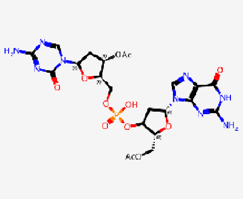 CC(=O)OC[C@H]1O[C@@H](n2cnc3c(=O)[nH]c(N)nc32)CC1OP(=O)(O)OC[C@H]1O[C@@H](n2cnc(N)nc2=O)C[C@H]1OC(C)=O